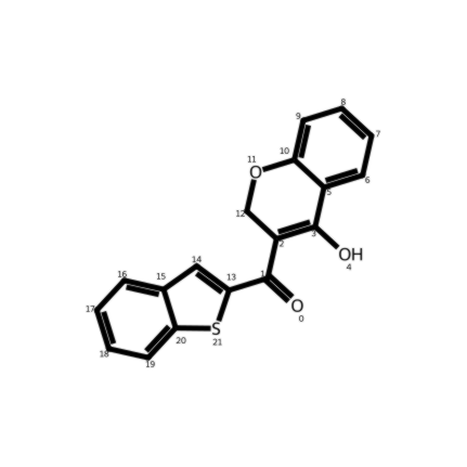 O=C(C1=C(O)c2ccccc2OC1)c1cc2ccccc2s1